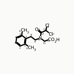 Cc1cccc(C)c1CCN(CC(=O)O)C(=O)C(Cl)Cl